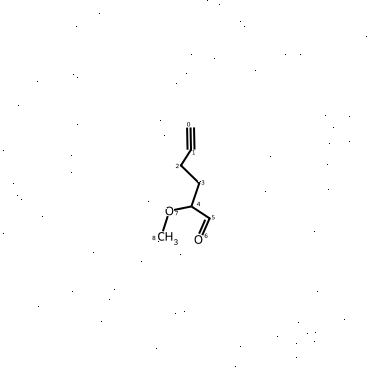 [C]#CCCC(C=O)OC